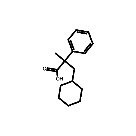 CC(CC1CCCCC1)(C(=O)O)c1ccccc1